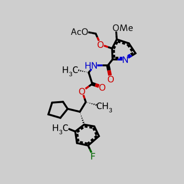 COc1ccnc(C(=O)N[C@@H](C)C(=O)O[C@H](C)[C@H](c2ccc(F)cc2C)C2CCCC2)c1OCOC(C)=O